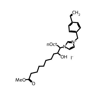 C=Cc1ccc(C[n+]2ccn(C(CCCCCCCC)C(O)CCCCCCCC(=O)OC)c2)cc1.[I-]